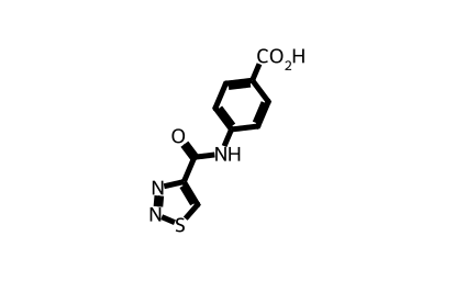 O=C(O)c1ccc(NC(=O)c2csnn2)cc1